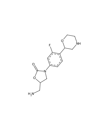 NCC1CN(c2ccc(C3CNCCO3)c(F)c2)C(=O)O1